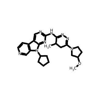 COC1CCN(C2=NN=C(Nc3ncc4c5ccncc5n(C5CCCC5)c4n3)C(C)C2)C1